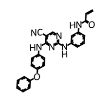 C=CC(=O)Nc1cccc(Nc2ncc(C#N)c(Nc3ccc(Oc4ccccc4)cc3)n2)c1